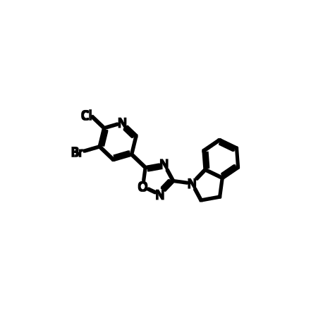 Clc1ncc(-c2nc(N3CCc4ccccc43)no2)cc1Br